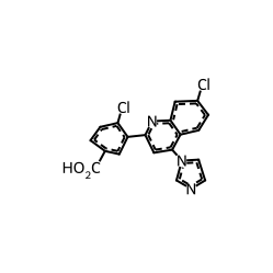 O=C(O)c1ccc(Cl)c(-c2cc(-n3ccnc3)c3ccc(Cl)cc3n2)c1